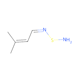 CC(C)=C/C=N\SN